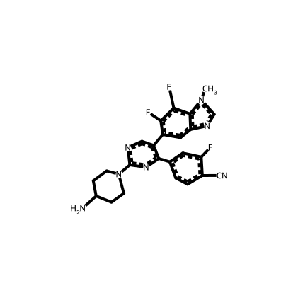 Cn1cnc2cc(-c3cnc(N4CCC(N)CC4)nc3-c3ccc(C#N)c(F)c3)c(F)c(F)c21